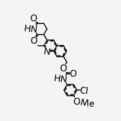 COc1ccc(NC(=O)OCc2ccc3cc(C4CCC(=O)NC4=O)c(C)nc3c2)cc1Cl